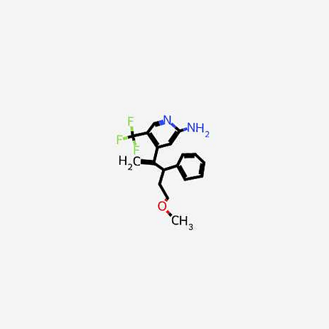 C=C(c1cc(N)ncc1C(F)(F)F)C(CCOC)c1ccccc1